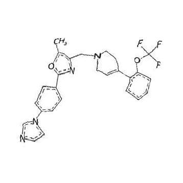 Cc1oc(-c2ccc(-n3ccnc3)cc2)nc1CN1CC=C(c2ccccc2OC(F)(F)F)CC1